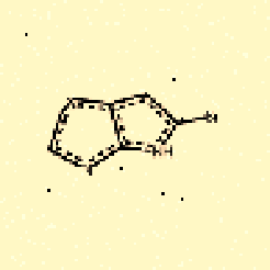 Brc1cc2[c]ccnc2[nH]1